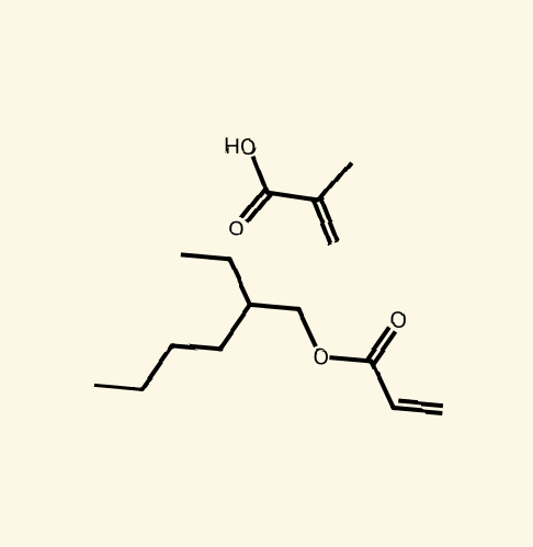 C=C(C)C(=O)O.C=CC(=O)OCC(CC)CCCC